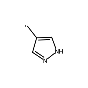 [CH]c1cn[nH]c1